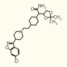 CC1(C)OCC(C(C(N)=O)C2CCC(CCN3CCC(c4noc5cc(Cl)ccc45)CC3)CC2)O1